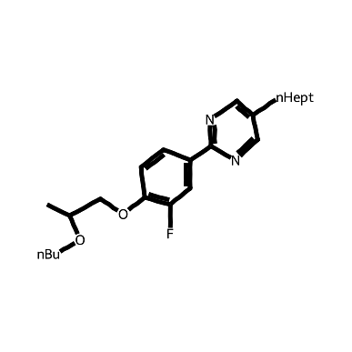 CCCCCCCc1cnc(-c2ccc(OCC(C)OCCCC)c(F)c2)nc1